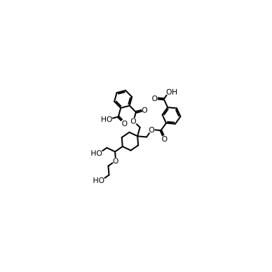 O=C(O)c1cccc(C(=O)OCC2(COC(=O)c3ccccc3C(=O)O)CCC(C(CO)OCCO)CC2)c1